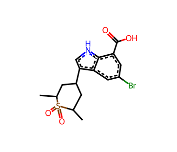 CC1CC(c2c[nH]c3c(C(=O)O)cc(Br)cc23)CC(C)S1(=O)=O